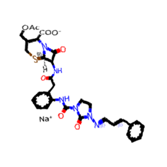 CC(=O)OCC1=C(C(=O)[O-])N2C(=O)C(NC(=O)Cc3ccccc3NC(=O)N3CCN(/N=C/C=C/c4ccccc4)C3=O)[C@H]2SC1.[Na+]